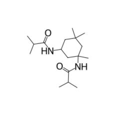 CC(C)C(=O)NC1CC(C)(C)CC(C)(NC(=O)C(C)C)C1